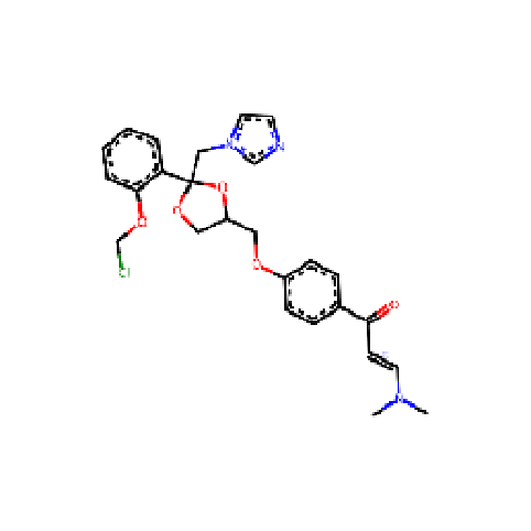 CN(C)/C=C/C(=O)c1ccc(OCC2COC(Cn3ccnc3)(c3ccccc3OCCl)O2)cc1